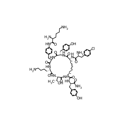 C[C@@H](O)[C@@H]1NC(=O)[C@H](CCCCN)NC(=O)[C@@H](Cc2ccc(NC(=O)C(N)CCCCN)cc2)NC(=O)[C@H](Cc2ccc(O)cc2)NC(=O)[C@H](NC(=O)[C@@H](N)Cc2ccc(Cl)cc2)CSSC[C@@H](C(=O)N[C@H](Cc2ccc(O)cc2)C(N)=O)NC1=O